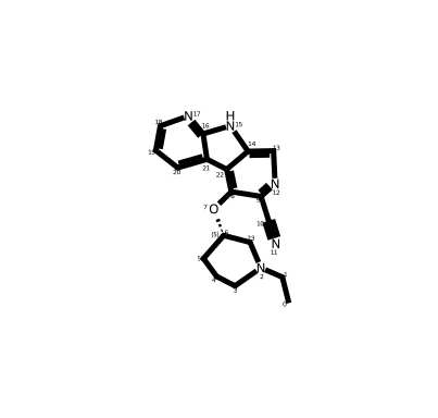 CCN1CCC[C@H](Oc2c(C#N)ncc3[nH]c4ncccc4c23)C1